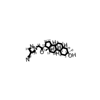 C[C@]1(O)CC[C@@H]2[C@H](CC[C@@H]3[C@@H]2CC[C@]2(C)[C@@H](C(=O)Cn4cc(C#N)cn4)CC[C@@H]32)C1